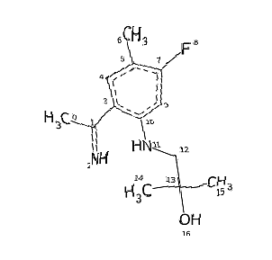 CC(=N)c1cc(C)c(F)cc1NCC(C)(C)O